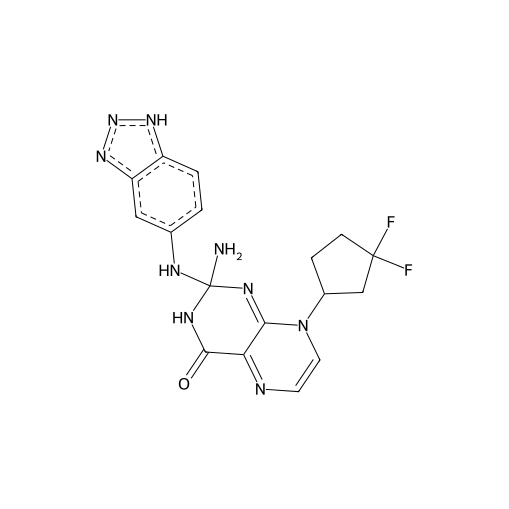 NC1(Nc2ccc3[nH]nnc3c2)N=C2C(=NC=CN2C2CCC(F)(F)C2)C(=O)N1